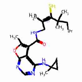 B/C(CNC(=O)c1c(C)oc2ncnc(NC3(C)CC3)c12)=C(\S)C(C)(C)CC(C)C